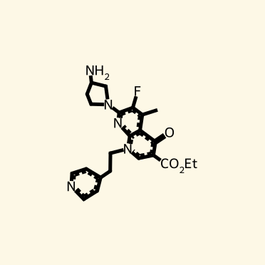 CCOC(=O)c1cn(CCc2ccncc2)c2nc(N3CCC(N)C3)c(F)c(C)c2c1=O